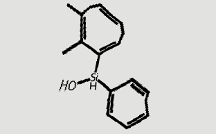 Cc1cccc([SiH](O)c2ccccc2)c1C